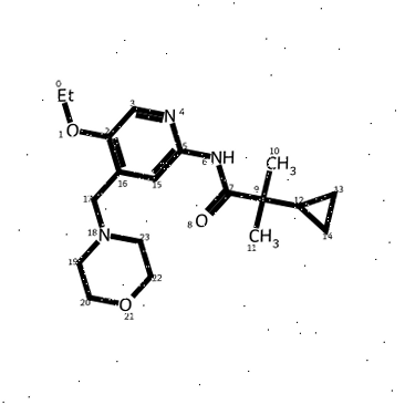 CCOc1cnc(NC(=O)C(C)(C)C2CC2)cc1CN1CCOCC1